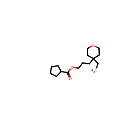 CCC1(CCCOC(=O)C2CCCC2)CCOCC1